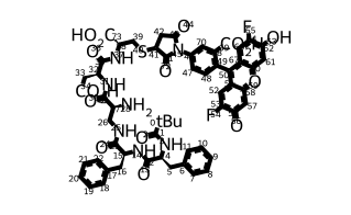 CC(C)(C)C(=O)N[C@@H](Cc1ccccc1)C(=O)N[C@@H](Cc1ccccc1)C(=O)NC[C@H](N)C(=O)N[C@@H](CC(=O)O)C(=O)N[C@@H](CSC1CC(=O)N(c2ccc(-c3c4cc(F)c(=O)cc-4oc4cc(O)c(F)cc34)c(C(=O)O)c2)C1=O)C(=O)O